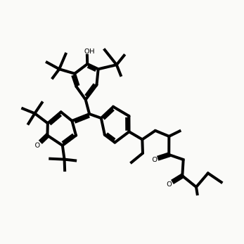 CCC(C)C(=O)CC(=O)C(C)CC(CC)c1ccc(C(=C2C=C(C(C)(C)C)C(=O)C(C(C)(C)C)=C2)c2cc(C(C)(C)C)c(O)c(C(C)(C)C)c2)cc1